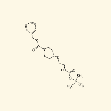 CC(C)(C)OC(=O)NCCOC1CCN(C(=O)OCc2ccccc2)CC1